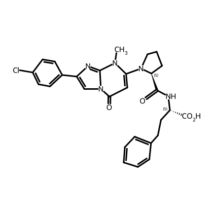 Cn1c(N2CCC[C@H]2C(=O)N[C@@H](CCc2ccccc2)C(=O)O)cc(=O)n2cc(-c3ccc(Cl)cc3)nc12